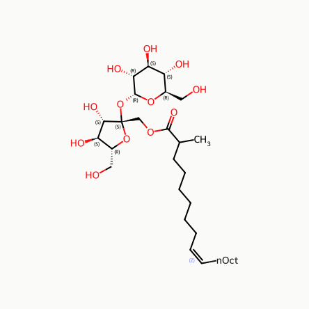 CCCCCCCC/C=C\CCCCCCC(C)C(=O)OC[C@@]1(O[C@H]2O[C@H](CO)[C@@H](O)[C@H](O)[C@H]2O)O[C@H](CO)[C@@H](O)[C@@H]1O